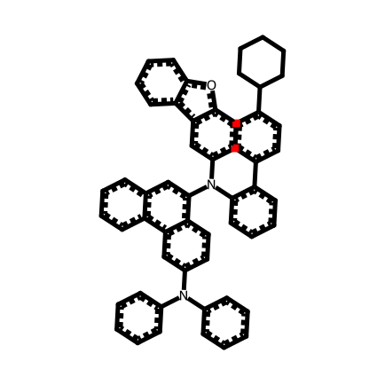 c1ccc(N(c2ccccc2)c2ccc3c(N(c4ccc5oc6ccccc6c5c4)c4ccccc4-c4ccc(C5CCCCC5)cc4)cc4ccccc4c3c2)cc1